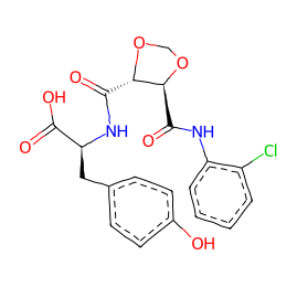 O=C(O)[C@H](Cc1ccc(O)cc1)NC(=O)[C@@H]1OCO[C@H]1C(=O)Nc1ccccc1Cl